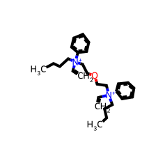 C=C[N+](CCCC)(CCOCC[N+](C=C)(CCCC)c1ccccc1)c1ccccc1